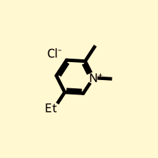 CCc1ccc(C)[n+](C)c1.[Cl-]